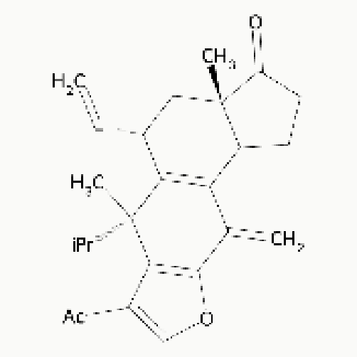 C=C[C@@H]1C[C@]2(C)C(=O)CCC2C2=C1[C@@](C)(C(C)C)c1c(C(C)=O)coc1C2=C